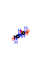 COc1cc(NS(C)(=O)=O)ccc1C1Nc2cc3c(cc2N1)C(C)C(=O)N3